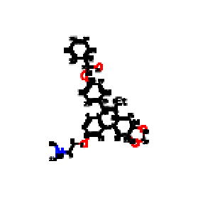 CC/C(=C(/c1ccc(OCCN(C)C)cc1)c1ccc(OC(=O)c2ccccc2)cc1)c1ccc2c(c1)OCO2